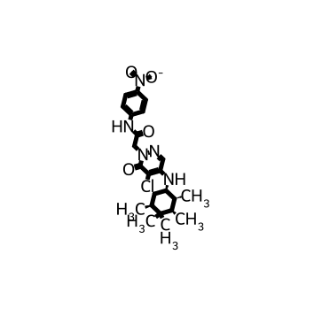 C[C@@H]1[C@@H](C)C(C)(C)[C@@H](C)C[C@H]1Nc1cnn(CC(=O)Nc2ccc([N+](=O)[O-])cc2)c(=O)c1Cl